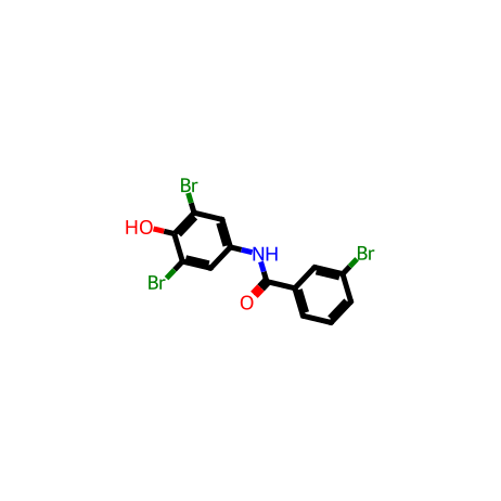 O=C(Nc1cc(Br)c(O)c(Br)c1)c1cccc(Br)c1